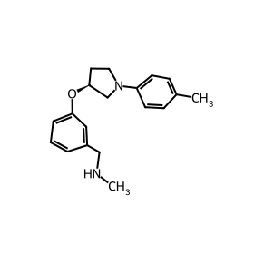 CNCc1cccc(O[C@H]2CCN(c3ccc(C)cc3)C2)c1